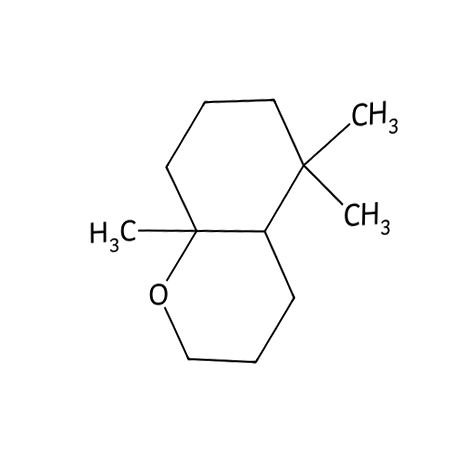 CC1(C)CCCC2(C)OCCCC12